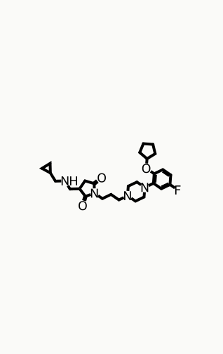 O=C1CC(CNCC2CC2)C(=O)N1CCCN1CCN(c2cc(F)ccc2OC2CCCC2)CC1